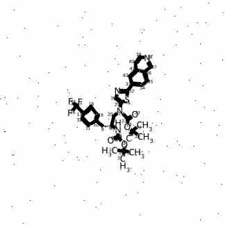 CC(C)(C)OC(=O)N[C@H](Cc1ccc(C(F)(F)F)cc1)CN(C(=O)OC(C)(C)C)c1cnc(-c2ccc3cnccc3c2)s1